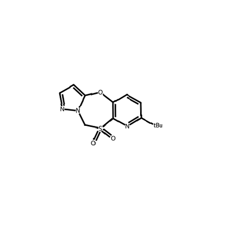 CC(C)(C)c1ccc2c(n1)S(=O)(=O)Cn1nccc1O2